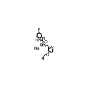 O=S(=O)(NCc1cc(OCC2CC2)ccn1)c1nc2cc(F)ccc2[nH]1.[Na]